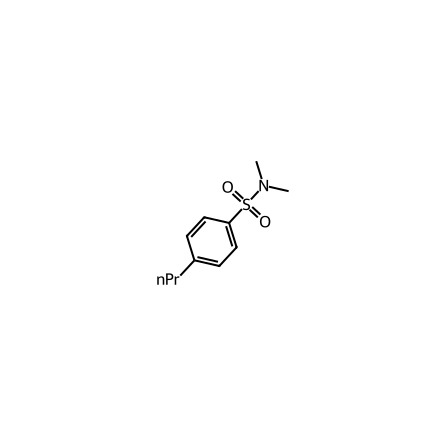 CCCc1ccc(S(=O)(=O)N(C)C)cc1